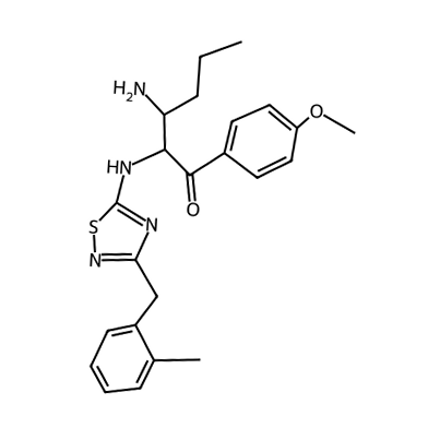 CCCC(N)C(Nc1nc(Cc2ccccc2C)ns1)C(=O)c1ccc(OC)cc1